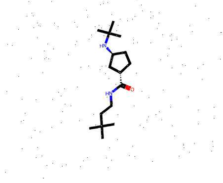 CC(C)(C)CCNC(=O)[C@H]1CC[C@H](NC(C)(C)C)C1